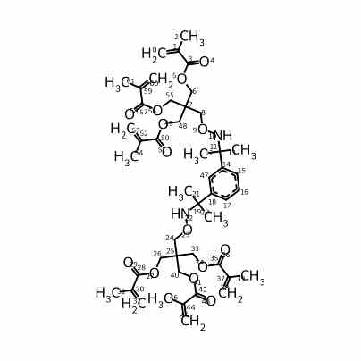 C=C(C)C(=O)OCC(CONC(C)(C)c1cccc(C(C)(C)NOCC(COC(=O)C(=C)C)(COC(=O)C(=C)C)COC(=O)C(=C)C)c1)(COC(=O)C(=C)C)COC(=O)C(=C)C